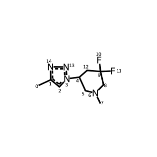 Cc1cn(C2CN(C)CC(F)(F)C2)nn1